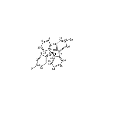 Cc1cc[c]([Pb]([c]2ccccc2)([c]2ccccc2)[c]2ccc(C)cc2)cc1